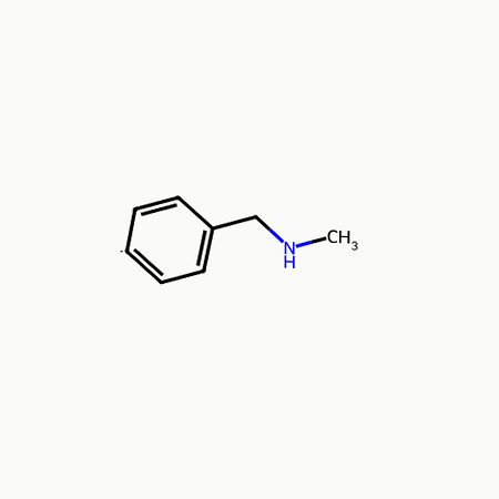 CNCc1cc[c]cc1